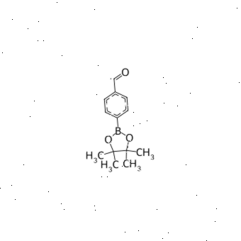 CC1(C)OB(c2ccc([C]=O)cc2)OC1(C)C